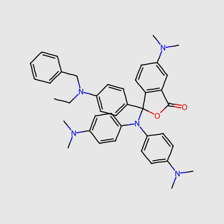 CCN(Cc1ccccc1)c1ccc(C2(N(c3ccc(N(C)C)cc3)c3ccc(N(C)C)cc3)OC(=O)c3cc(N(C)C)ccc32)cc1